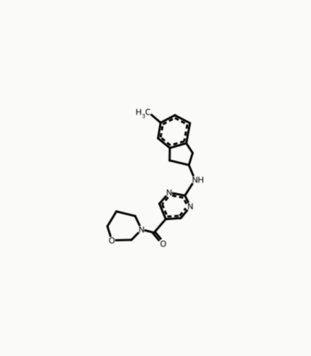 Cc1ccc2c(c1)CC(Nc1ncc(C(=O)N3CCCOC3)cn1)C2